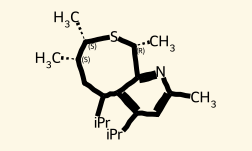 Cc1cc(C(C)C)c2c(n1)[C@@H](C)S[C@@H](C)[C@@H](C)CC2C(C)C